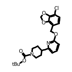 CC(C)(C)OC(=O)N1CCC(c2cccc(OCc3ccc(Cl)c4c3OCO4)n2)CC1